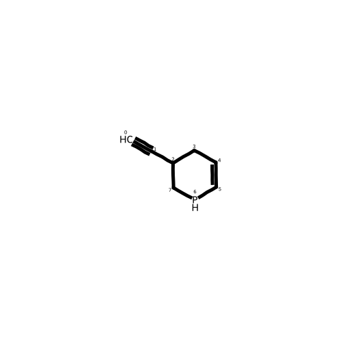 C#CC1CC=CPC1